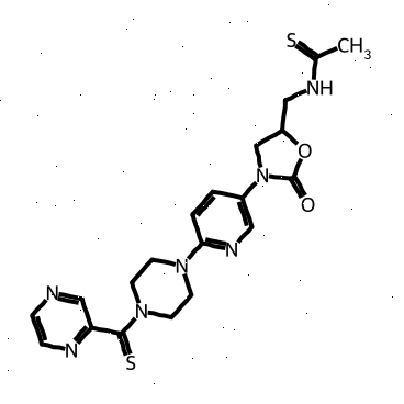 CC(=S)NCC1CN(c2ccc(N3CCN(C(=S)c4cnccn4)CC3)nc2)C(=O)O1